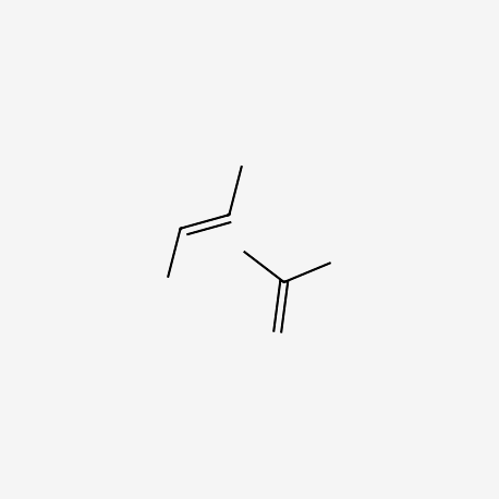 C=C(C)C.CC=CC